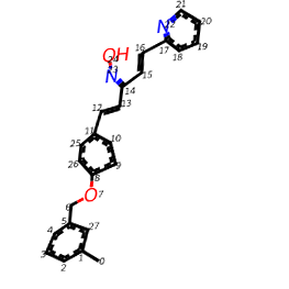 Cc1cccc(COc2ccc(C=CC(C=Cc3ccccn3)=NO)cc2)c1